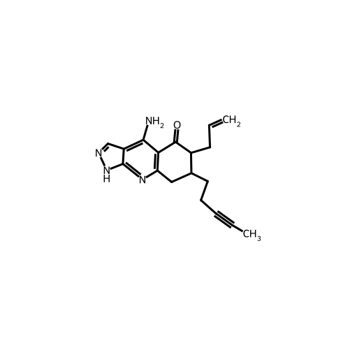 C=CCC1C(=O)c2c(nc3[nH]ncc3c2N)CC1CCC#CC